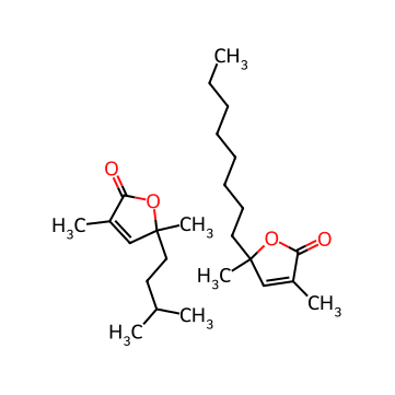 CC1=CC(C)(CCC(C)C)OC1=O.CCCCCCCCC1(C)C=C(C)C(=O)O1